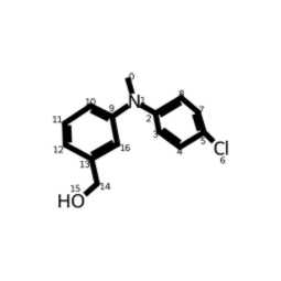 CN(c1ccc(Cl)cc1)c1cccc(CO)c1